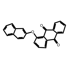 O=C1c2ccccc2C(=O)c2c(Oc3ccc4ccccc4c3)cccc21